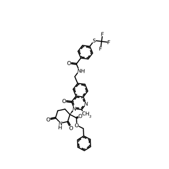 Cc1nc2ccc(CNC(=O)c3ccc(SC(F)(F)F)cc3)cc2c(=O)n1[C@]1(C(=O)OCc2ccccc2)CCC(=O)NC1=O